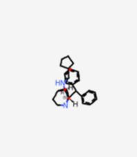 c1ccc(C(c2ccccc2)[C@H]2[C@H](NCC3CCCC3)C3CCN2CC3)cc1